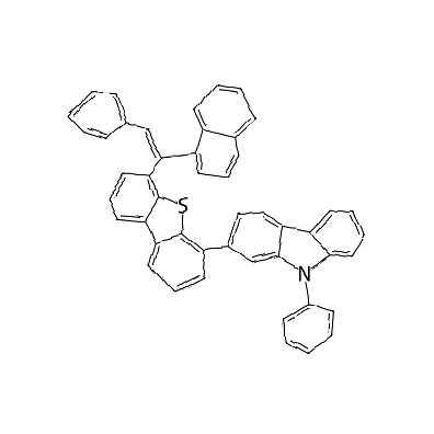 C(=C(\c1cccc2ccccc12)c1cccc2c1sc1c(-c3ccc4c5ccccc5n(-c5ccccc5)c4c3)cccc12)/c1ccccc1